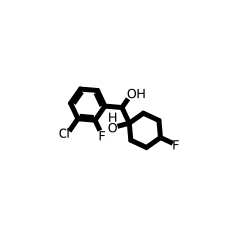 OC(c1cccc(Cl)c1F)C1(O)CCC(F)CC1